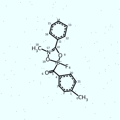 Cc1ccc(C(=O)[B-]2(F)OC(c3ccccc3)=[N+](C)O2)cc1